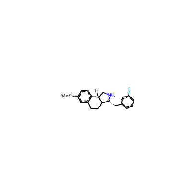 COc1ccc2c(c1)CCC1[C@@H](Cc3cccc(F)c3)NC[C@@H]21